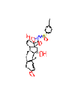 Cc1ccc([S@+]([O-])NC(=O)[C@@]2(O)CCC3C4CCC5=CC(=O)C=CC5(C)C4[C@@H](O)CC32C)cc1